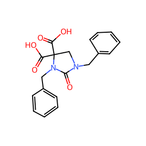 O=C1N(Cc2ccccc2)CC(C(=O)O)(C(=O)O)N1Cc1ccccc1